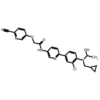 CC(O)N(CC1CC1)c1ccc(-c2ccc(NC(=O)COc3ccc(C#N)nc3)cn2)cc1Cl